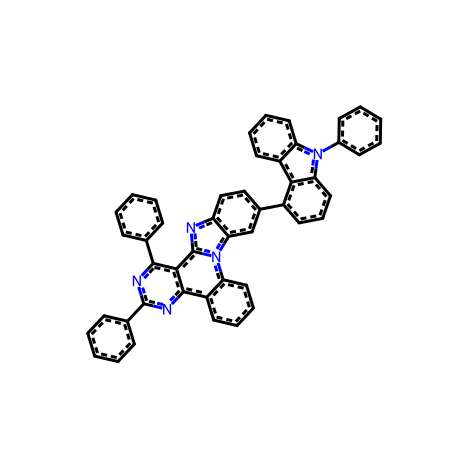 c1ccc(-c2nc(-c3ccccc3)c3c(n2)c2ccccc2n2c4cc(-c5cccc6c5c5ccccc5n6-c5ccccc5)ccc4nc32)cc1